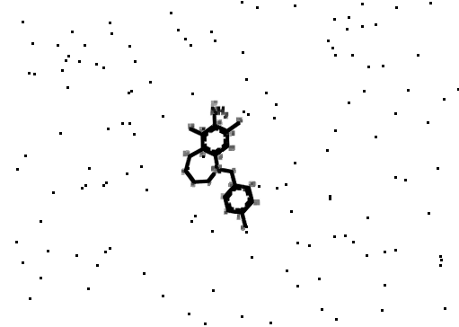 Cc1ccc(CN2CCCCc3c2cc(C)c(N)c3C)cc1